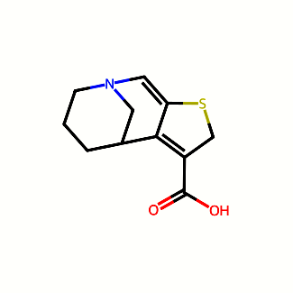 O=C(O)C1=C2C(=CN3CCCC2C3)SC1